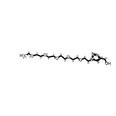 CCOCCOCCOCCOCCOCCn1cc(CO)nn1